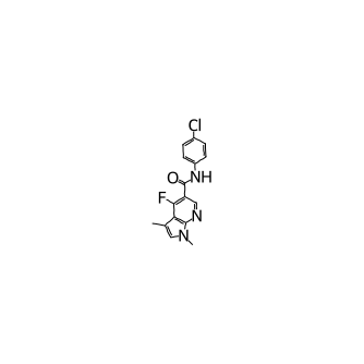 Cc1cn(C)c2ncc(C(=O)Nc3ccc(Cl)cc3)c(F)c12